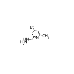 CCC1C=C(C)N=C(CNN)C1